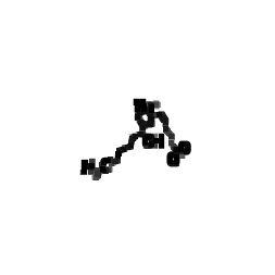 CCCCCC(O)c1cccc(/C=C\CCCC(=O)[O-])c1.[Na+]